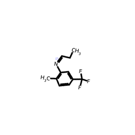 CC/C=N\c1cc(C(F)(F)F)ccc1C